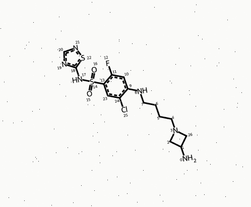 NC1CN(CCCCNc2cc(F)c(S(=O)(=O)Nc3ncns3)cc2Cl)C1